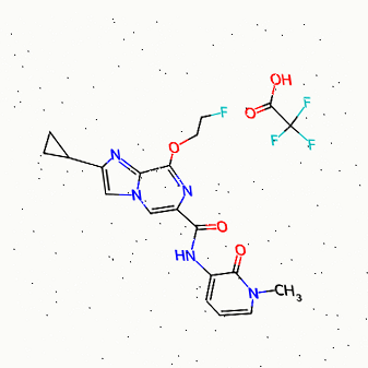 Cn1cccc(NC(=O)c2cn3cc(C4CC4)nc3c(OCCF)n2)c1=O.O=C(O)C(F)(F)F